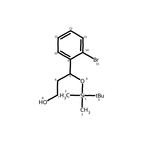 CC(C)(C)[Si](C)(C)OC(CCO)c1ccccc1Br